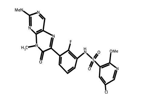 CNc1ncc2nc(-c3cccc(NS(=O)(=O)c4cc(Cl)cnc4OC)c3F)c(=O)n(C)c2n1